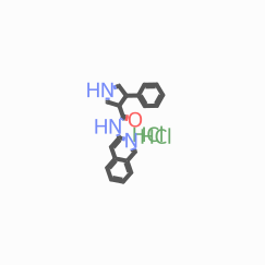 Cl.Cl.O=C(Nc1cc2ccccc2cn1)C1CNCC1c1ccccc1